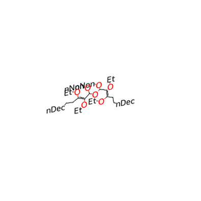 CCCCCCCCCCCCC(OCC)=C(OCC)C(OCCCCCCCCC)OC(OCCCCCCCCC)C(OCC)=C(CCCCCCCCCCCC)OCC